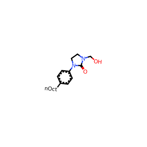 CCCCCCCCc1ccc(N2CCN(CO)C2=O)cc1